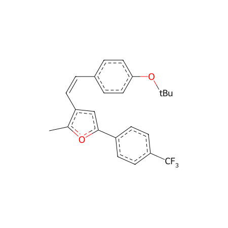 Cc1oc(-c2ccc(C(F)(F)F)cc2)cc1/C=C\c1ccc(OC(C)(C)C)cc1